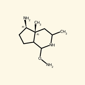 CC1C[C@]2(C)C(CC[C@H]2N)C(ON)N1